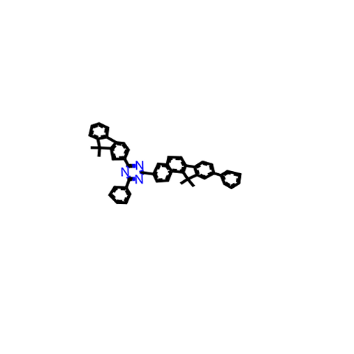 CC1(C)c2ccccc2-c2ccc(-c3nc(-c4ccccc4)nc(-c4ccc5c6c(ccc5c4)-c4ccc(-c5ccccc5)cc4C6(C)C)n3)cc21